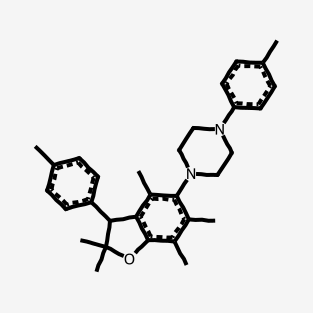 Cc1ccc(C2c3c(C)c(N4CCN(c5ccc(C)cc5)CC4)c(C)c(C)c3OC2(C)C)cc1